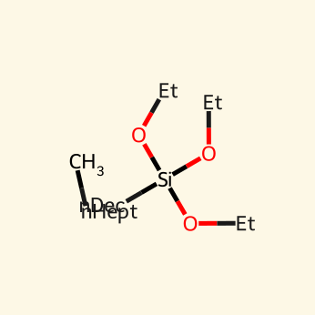 CCCCCCCC.CCCCCCCCCC[Si](OCC)(OCC)OCC